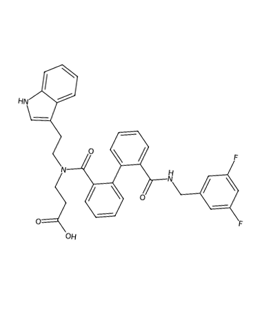 O=C(O)CCN(CCc1c[nH]c2ccccc12)C(=O)c1ccccc1-c1ccccc1C(=O)NCc1cc(F)cc(F)c1